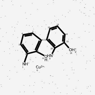 [Cu+2].[NH-]c1ccccc1O.[NH-]c1ccccc1[OH2+]